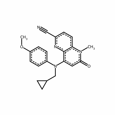 COc1ccc(N(CC2CC2)c2cc(=O)n(C)c3ccc(C#N)nc23)cc1